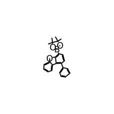 CC1(C)OB(c2ccc(-c3ccccc3)c3c2oc2ccccc23)OC1(C)C